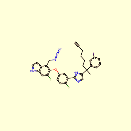 C#CCCCCC(C)(c1cccc(I)c1)c1cnc(-c2cc(Oc3c(F)cc4[nH]ccc4c3CN=[N+]=[N-])ccc2F)[nH]1